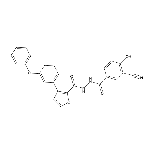 N#Cc1cc(C(=O)NNC(=O)c2occc2-c2cccc(Oc3ccccc3)c2)ccc1O